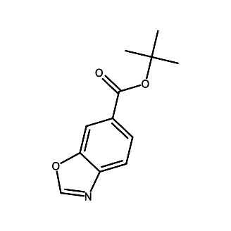 CC(C)(C)OC(=O)c1ccc2ncoc2c1